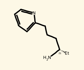 CC[C@H](N)CCCc1ccccn1